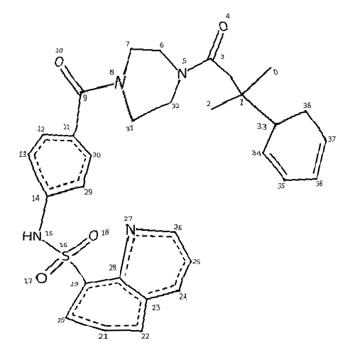 CC(C)(C(=O)N1CCN(C(=O)c2ccc(NS(=O)(=O)c3cccc4cccnc34)cc2)CC1)C1C=CC=CC1